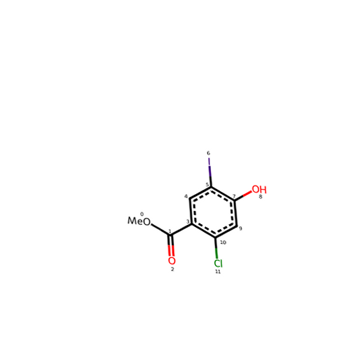 COC(=O)c1cc(I)c(O)cc1Cl